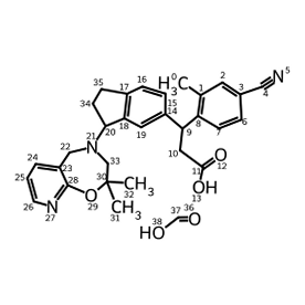 Cc1cc(C#N)ccc1C(CC(=O)O)c1ccc2c(c1)C(N1Cc3cccnc3OC(C)(C)C1)CC2.O=CO